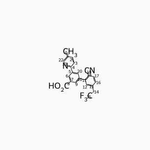 Cc1ccc(-c2cc(C(=O)O)cc(-c3cc(CC(F)(F)F)ccc3C#N)c2)nc1